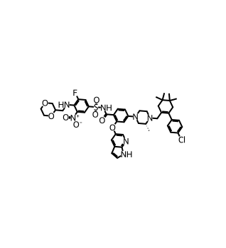 C[C@@H]1CN(c2ccc(C(=O)NS(=O)(=O)c3cc(F)c(NCC4COCCO4)c([N+](=O)[O-])c3)c(Oc3cnc4[nH]ccc4c3)c2)CCN1CC1=C(c2ccc(Cl)cc2)CC(C)(C)C(C)(C)C1